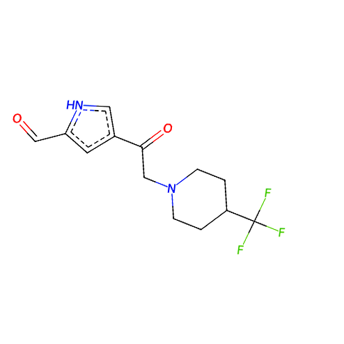 O=Cc1cc(C(=O)CN2CCC(C(F)(F)F)CC2)c[nH]1